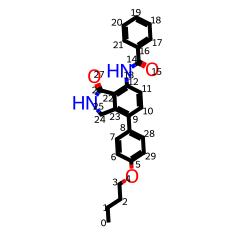 CCCCOc1ccc(-c2ccc(NC(=O)c3ccccc3)c3c2CNC3=O)cc1